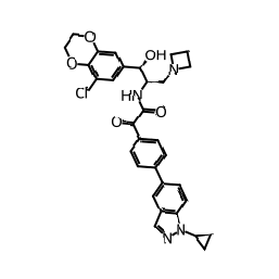 O=C(N[C@H](CN1CCC1)[C@H](O)c1cc(Cl)c2c(c1)OCCO2)C(=O)c1ccc(-c2ccc3c(cnn3C3CC3)c2)cc1